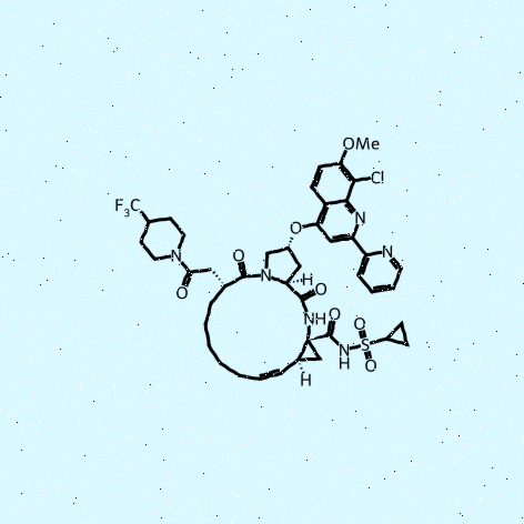 COc1ccc2c(O[C@@H]3C[C@H]4C(=O)N[C@]5(C(=O)NS(=O)(=O)C6CC6)C[C@H]5/C=C\CCCCC[C@H](CC(=O)N5CCC(C(F)(F)F)CC5)C(=O)N4C3)cc(-c3ccccn3)nc2c1Cl